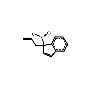 C=CC[C]1([Zr]([Cl])[Cl])C=Cc2ccccc21